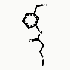 COCCC(=O)Nc1cccc(CO)c1